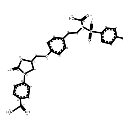 Cc1ccc(S(=O)(=O)N(CCc2ccc(OCC3CN(c4ccc(C(=N)N)cc4)C(=O)O3)cc2)C(=O)O)cc1